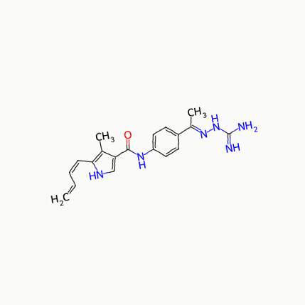 C=C/C=C\c1[nH]cc(C(=O)Nc2ccc(/C(C)=N/NC(=N)N)cc2)c1C